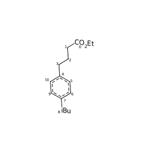 CCOC(=O)CCCc1ccc(C(C)CC)cc1